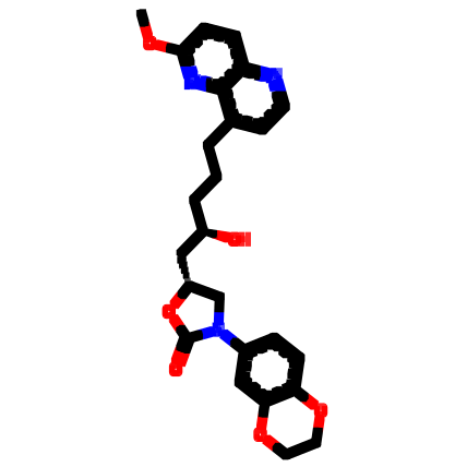 COc1ccc2nccc(CCC[C@@H](O)C[C@@H]3CN(c4ccc5c(c4)OCCO5)C(=O)O3)c2n1